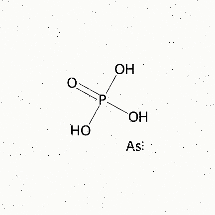 O=P(O)(O)O.[As]